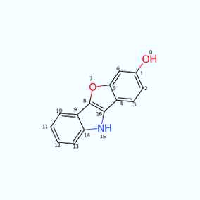 Oc1ccc2c(c1)oc1c3ccccc3[nH]c21